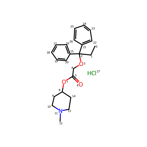 CCC(OCC(=O)OC1CCN(C)CC1)(c1ccccc1)c1ccccc1.Cl